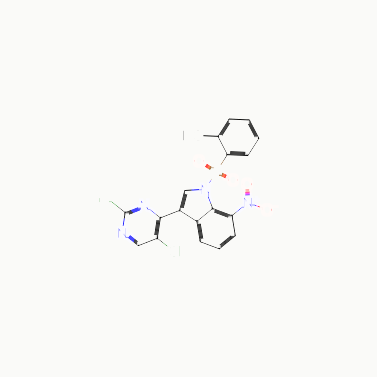 Cc1ccccc1S(=O)(=O)n1cc(-c2nc(Cl)ncc2Cl)c2cccc([N+](=O)[O-])c21